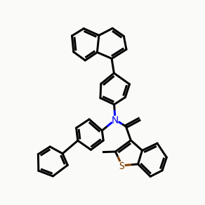 C=C(c1c(C)sc2ccccc12)N(c1ccc(-c2ccccc2)cc1)c1ccc(-c2cccc3ccccc23)cc1